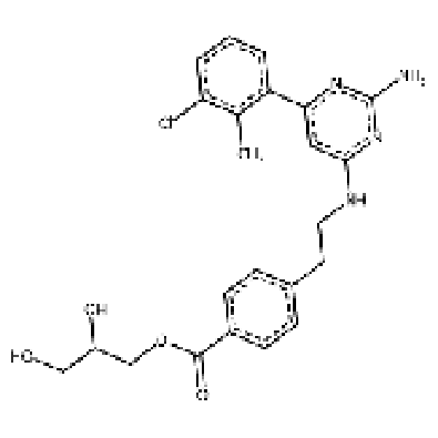 Cc1c(Cl)cccc1-c1cc(NCCc2ccc(C(=O)OCC(O)CO)cc2)nc(N)n1